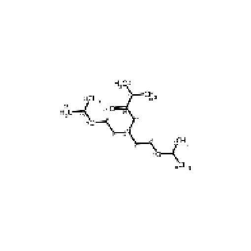 CC(C)OCCN(CCOC(C)C)CC(=O)C(C)C